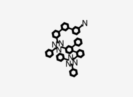 N#Cc1cccc(-c2cccc(-c3cccc(-c4nc(-c5ccccc5)nc(-c5ccc(-c6ccccc6-c6nc(-c7ccccc7)nc(-c7ccccc7)n6)c(-c6ccccc6)c5)n4)c3)c2)c1